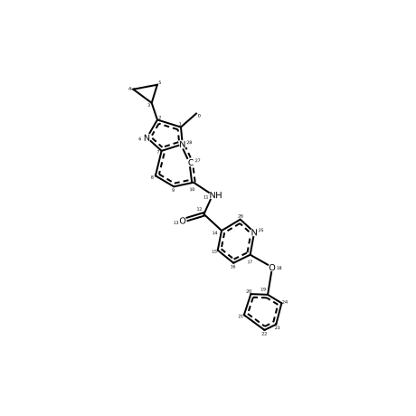 Cc1c(C2CC2)nc2ccc(NC(=O)c3ccc(Oc4ccccc4)nc3)cn12